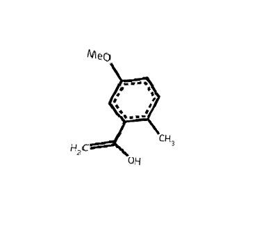 C=C(O)c1cc(OC)ccc1C